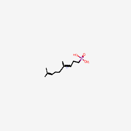 CC(C)=CCC/C(C)=C/CCP(=O)(O)O